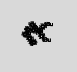 CC(C)(C)c1ccc(-c2nc(-c3ccc(C(C)(C)C)cc3)nc(-c3ccc(-c4cccc5c4oc4c(-c6ccc(C78CC9CC(CC(C9)C7)C8)cc6)cccc45)c4c3oc3ccccc34)n2)cc1